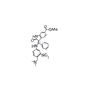 COC(=O)c1ccc2c(c1)NC(=O)/C2=C(\Nc1ccc(CN(C)C)c([N+](=O)[O-])c1)c1ccccc1